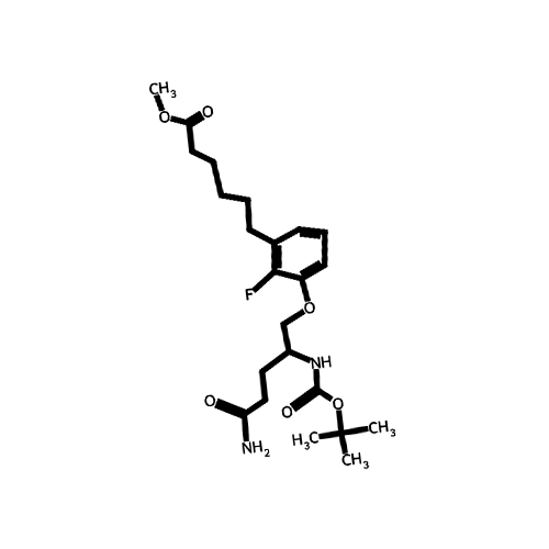 COC(=O)CCCCCc1cccc(OCC(CCC(N)=O)NC(=O)OC(C)(C)C)c1F